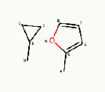 CC1CC1.Cc1ccco1